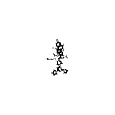 C[C@H]1C[C@H]2[C@@H]3C[C@H](F)C4=CC(=O)CC[C@]4(C)C3=CC[C@]2(C)[C@@]1(O)C(=O)CN1CCN(c2cc(N3CCCC3)nc(N3CCCC3)n2)CC1.Cl.Cl